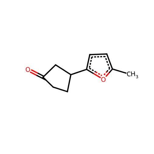 Cc1ccc(C2CCC(=O)C2)o1